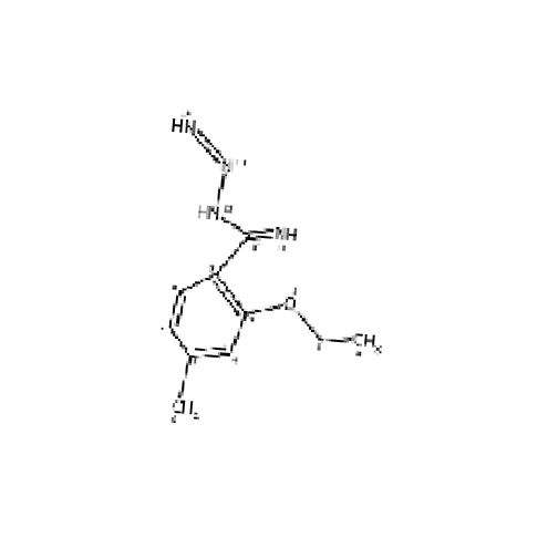 CCOc1cc(C)ccc1C(=N)NN=N